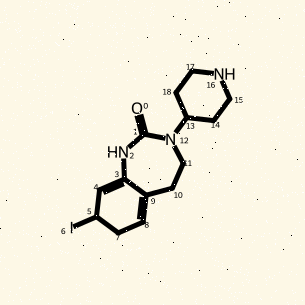 O=C1NC2=CC(I)CC=C2CCN1C1CCNCC1